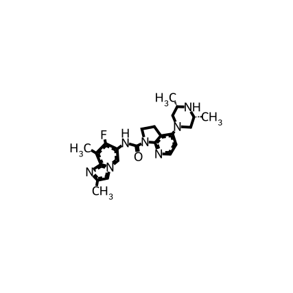 Cc1cn2cc(NC(=O)N3CCc4c(N5C[C@@H](C)N[C@@H](C)C5)ccnc43)c(F)c(C)c2n1